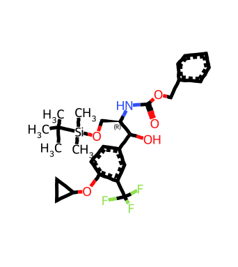 CC(C)(C)[Si](C)(C)OC[C@@H](NC(=O)OCc1ccccc1)C(O)c1ccc(OC2CC2)c(C(F)(F)F)c1